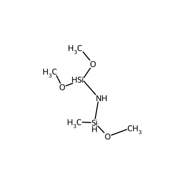 CO[SiH](C)N[SiH](OC)OC